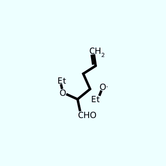 C=CCCC(C=O)OCC.CC[O]